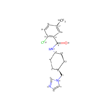 O=C(N[C@H]1CC[C@H](Cn2ccnc2)CC1)c1cc(C(F)(F)F)ccc1Cl